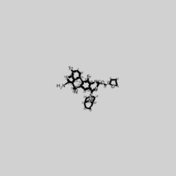 N#Cc1c(N)sc2c(F)ccc(-c3c(Cl)cc4c(N5CC6CCC(C5)N6)nc(OC[C@H]5CCCO5)nc4c3F)c12